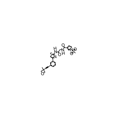 CC1(C#Cc2cccc(-c3csc(NC(=O)CNC(=O)c4ccn(S(C)(=O)=O)c4)n3)c2)COC1